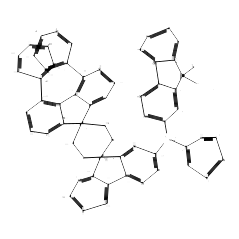 CC1(C)c2ccccc2-c2ccc(N(c3ccccc3)c3ccc4c(c3)C3(CCC5(CC3)c3cccc(-c6ccccc6)c3-c3c(-c6ccccc6)cccc35)c3ccccc3-4)cc21